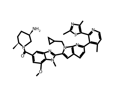 COc1cc(C(=O)N2C[C@H](N)CC[C@@H]2C)cc2nc(-c3cc4ccc(-c5c(C)ccnc5-c5sc(C)nc5C)nc4n3CC3CC3)n(C)c12